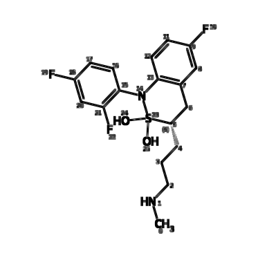 CNCCC[C@H]1Cc2cc(F)ccc2N(c2ccc(F)cc2F)S1(O)O